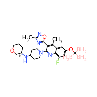 BC(B)(B)Oc1cc(F)c2nc(N3CCC(N[C@@H]4CCCOC4)CC3)c(-c3nc(C)no3)c(C)c2c1